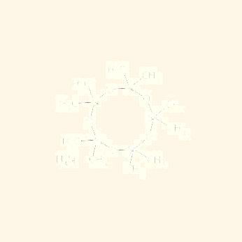 C[Si]1(C)O[Si](C)(C)O[Si](C)(C)O[Si](C)(C)O[Si](C)(C)O1.[SiH4]